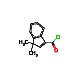 CC1(C)C=C(C(=O)Cl)c2ccccc21